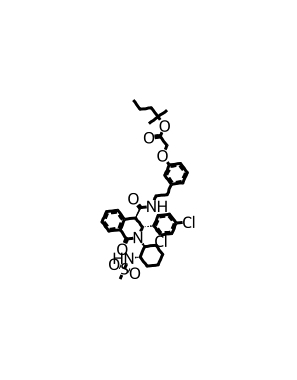 CCCC(C)(C)OC(=O)COc1cccc(CCNC(=O)[C@@H]2c3ccccc3C(=O)N([C@H]3CCCC[C@@H]3NS(C)(=O)=O)[C@H]2c2ccc(Cl)cc2Cl)c1